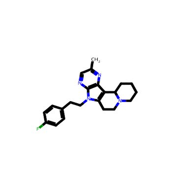 Cc1cnc2c(n1)c1c(n2CCc2ccc(F)cc2)CCN2CCCCC12